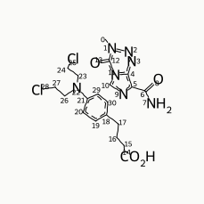 Cn1nnc2c(C(N)=O)ncn2c1=O.O=C(O)CCCc1ccc(N(CCCl)CCCl)cc1